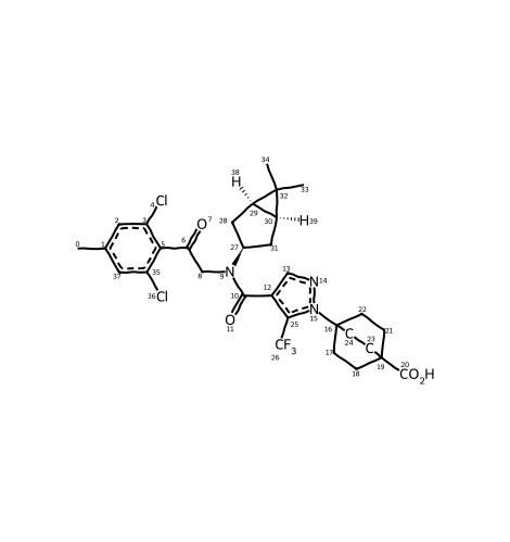 Cc1cc(Cl)c(C(=O)CN(C(=O)c2cnn(C34CCC(C(=O)O)(CC3)CC4)c2C(F)(F)F)[C@H]2C[C@@H]3[C@H](C2)C3(C)C)c(Cl)c1